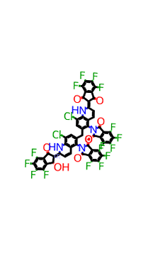 O=C1C(=C2C=Cc3c(c(Cl)cc(Cc4cc(Cl)c5c(c4N4C(=O)c6c(F)c(F)c(F)c(F)c6C4=O)C=C/C(=C4/C(=O)c6c(F)c(F)c(F)c(F)c6C4O)N5)c3N3C(=O)c4c(F)c(F)c(F)c(F)c4C3=O)N2)C(=O)c2c(F)c(F)c(F)c(F)c21